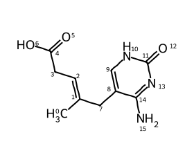 CC(=CCC(=O)O)Cc1c[nH]c(=O)nc1N